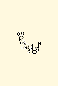 N#Cc1ccc2cccc(NC(=O)[C@H]3CC[C@H](NCc4cc5c(cn4)OCCO5)CN3)c2n1